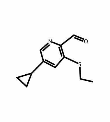 CCSc1cc(C2CC2)cnc1C=O